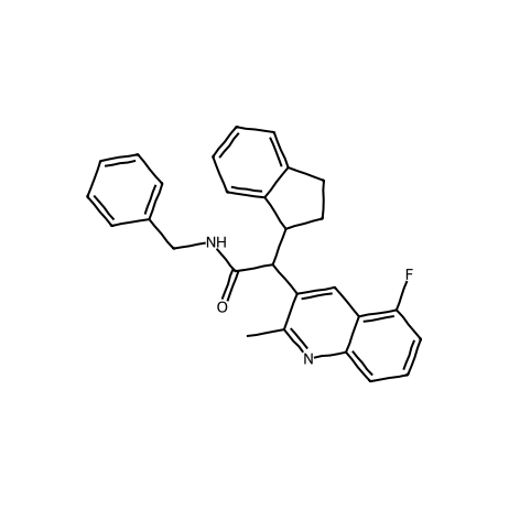 Cc1nc2cccc(F)c2cc1C(C(=O)NCc1ccccc1)C1CCc2ccccc21